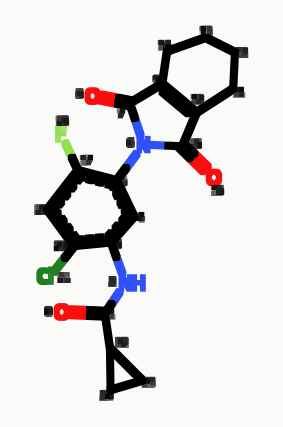 O=C(Nc1cc(N2C(=O)C3=C(CCCC3)C2=O)c(F)cc1Cl)C1CC1